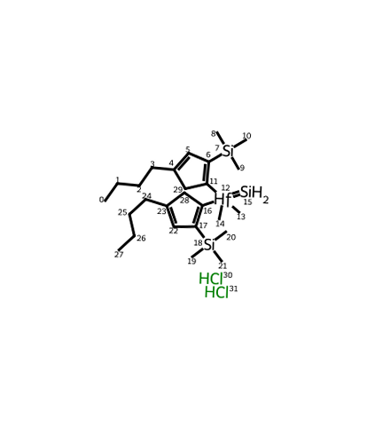 CCCCC1=CC([Si](C)(C)C)=[C]([Hf]([CH3])([CH3])(=[SiH2])[C]2=C([Si](C)(C)C)C=C(CCCC)C2)C1.Cl.Cl